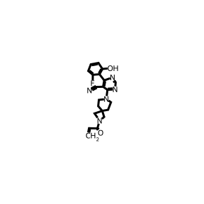 C=CC(=O)N1CC2(CCN(c3ncnc(-c4c(O)cccc4F)c3C#N)CC2)C1